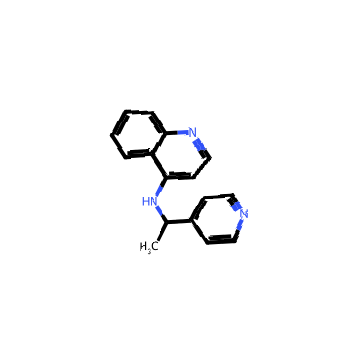 CC(Nc1ccnc2ccccc12)c1ccncc1